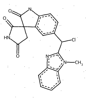 Cn1c(C(Cl)c2ccc3c(c2)C2(CC(=O)NC2=O)C(=O)[N]3)nc2ccccc21